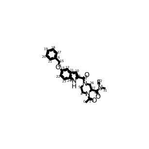 CC(=O)N1CCN(C(=O)c2cc3cc(OCc4ccccc4)ccc3[nH]2)CC1C(=O)N(C)F